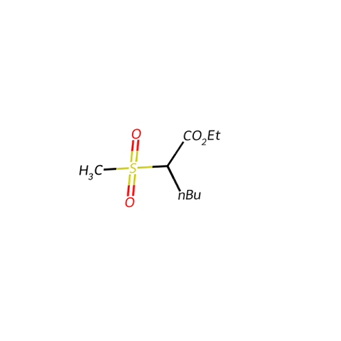 CCCCC(C(=O)OCC)S(C)(=O)=O